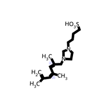 C=C(C)/C=C(C)\C=C(\C)CN1CCN(CCCCS(=O)(=O)O)C1